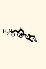 C[C@H](CC(=O)N1CC2CN(C)CC2C1)[C@@H](O)CC(N)=O